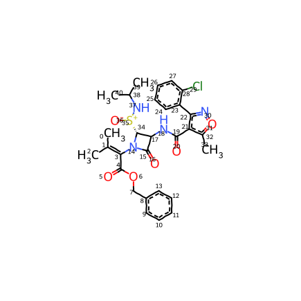 CC(C)=C(C(=O)OCc1ccccc1)N1C(=O)C(NC(=O)c2c(-c3ccccc3Cl)noc2C)[C@H]1[S+]([O-])NC(C)C